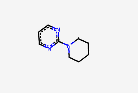 [CH]1CCCCN1c1ncccn1